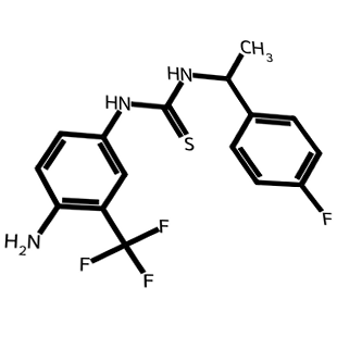 CC(NC(=S)Nc1ccc(N)c(C(F)(F)F)c1)c1ccc(F)cc1